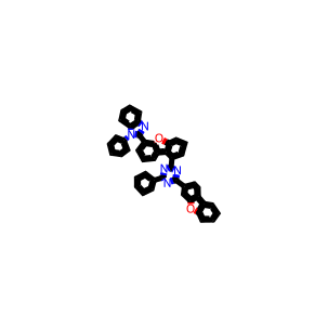 c1ccc(-c2nc(-c3ccc4c(c3)oc3ccccc34)nc(-c3cccc4oc5c(-c6nc7ccccc7n6-c6ccccc6)cccc5c34)n2)cc1